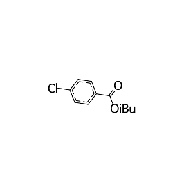 C[C](C)COC(=O)c1ccc(Cl)cc1